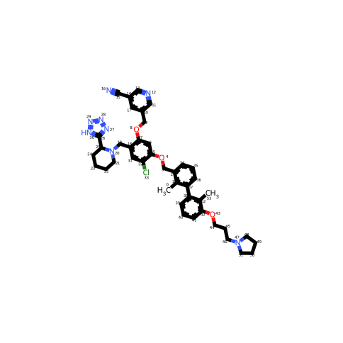 Cc1c(COc2cc(OCc3cncc(C#N)c3)c(CN3CCCCC3c3nnn[nH]3)cc2Cl)cccc1-c1cccc(OCCCN2CCCC2)c1C